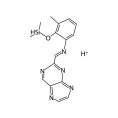 Cc1cccc(N=Cc2ncc3nccnc3n2)c1O[SiH](C)C.[H+]